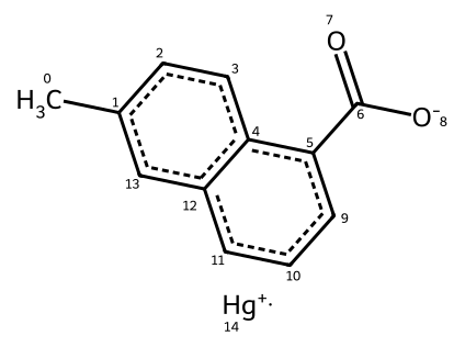 Cc1ccc2c(C(=O)[O-])cccc2c1.[Hg+]